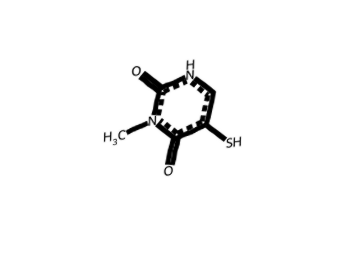 Cn1c(=O)[nH]cc(S)c1=O